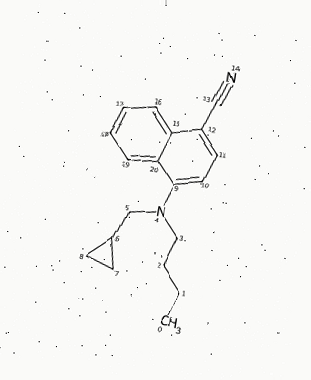 CCCCN(CC1CC1)c1ccc(C#N)c2ccccc12